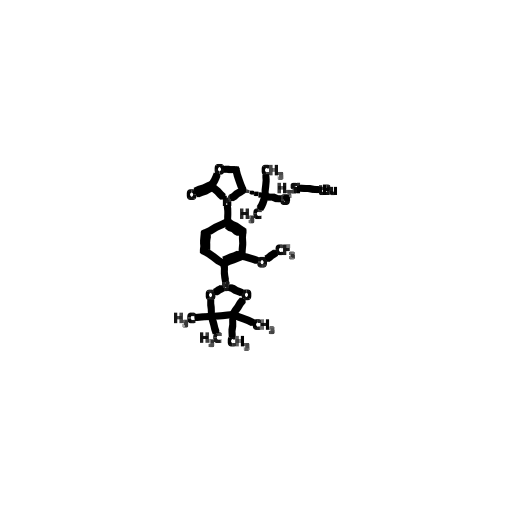 CC(C)(C)[SiH2]OC(C)(C)[C@H]1COC(=O)N1c1ccc(B2OC(C)(C)C(C)(C)O2)c(OC(F)(F)F)c1